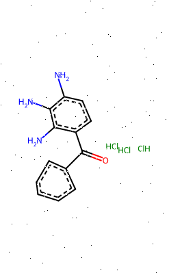 Cl.Cl.Cl.Nc1ccc(C(=O)c2ccccc2)c(N)c1N